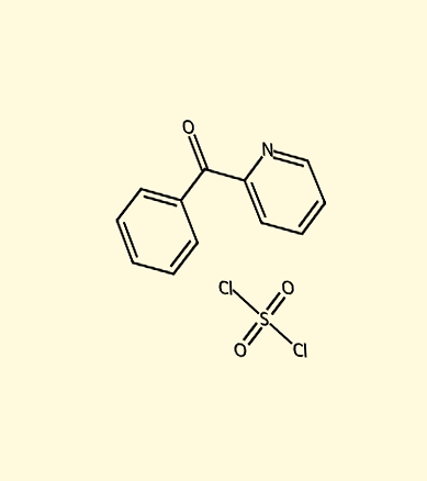 O=C(c1ccccc1)c1ccccn1.O=S(=O)(Cl)Cl